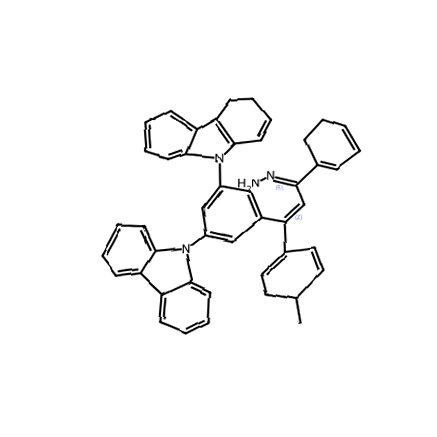 CC1C=CC(/C(=C/C(=N\N)C2=CC=CCC2)c2cc(-n3c4c(c5ccccc53)CCC=C4)cc(-n3c4ccccc4c4ccccc43)c2)=CC1